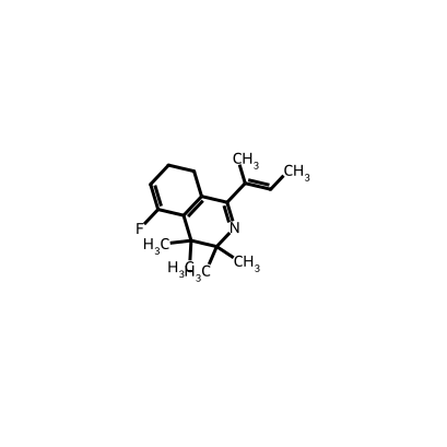 C/C=C(\C)C1=NC(C)(C)C(C)(C)C2=C1CCC=C2F